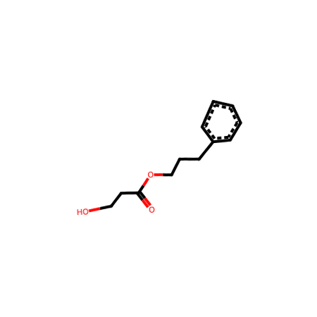 O=C(CCO)OCCCc1ccccc1